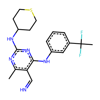 Cc1nc(NC2CCSCC2)nc(Nc2cccc(C(C)(F)F)c2)c1C=N